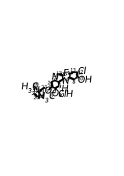 COc1cc2c(Nc3cc(O)c(Cl)cc3F)ccnc2cc1OCc1nccn1C.Cl